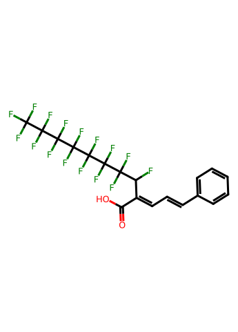 O=C(O)C(=CC=Cc1ccccc1)C(F)C(F)(F)C(F)(F)C(F)(F)C(F)(F)C(F)(F)C(F)(F)C(F)(F)F